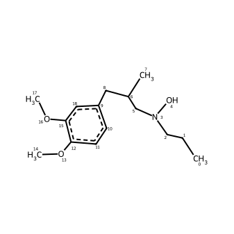 CCCN(O)CC(C)Cc1ccc(OC)c(OC)c1